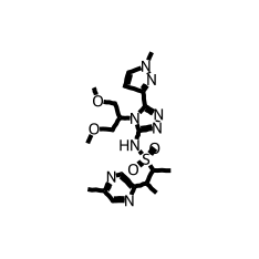 COCC(COC)n1c(NS(=O)(=O)C(C)C(C)c2cnc(C)cn2)nnc1-c1ccn(C)n1